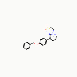 O=S1(=O)CCN2C(=N1)C1(c3ccc(OCc4ccccc4)cc3)CCC2CC1